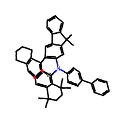 CC(C)c1ccc2c(c1-c1cc3c(cc1N(c1ccc(-c4ccccc4)cc1)c1cccc4c1C(C)(C)CCC4(C)C)C(C)(C)c1ccccc1-3)CCCC2